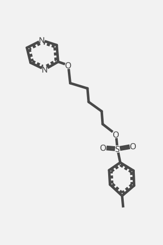 Cc1ccc(S(=O)(=O)OCCCCCOc2cnccn2)cc1